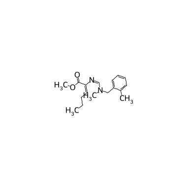 CCC/C=C(/N=C\N(C)Cc1ccccc1C)C(=O)OC